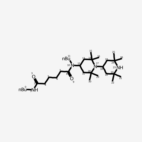 CCCCNC(=O)CCCCC(=O)N(CCCC)C1CC(C)(C)N(C2CC(C)(C)NC(C)(C)C2)C(C)(C)C1